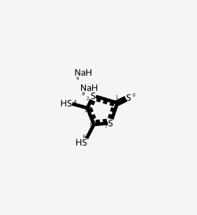 S=c1sc(S)c(S)s1.[NaH].[NaH]